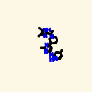 Cc1ccnc(Nc2cc(C3CCCN(C(C)c4nc(C)c(C)[nH]4)C3)nc(C)n2)c1